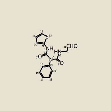 O=[C]CNC(=O)N(C(=O)Nc1cccs1)c1ccccc1